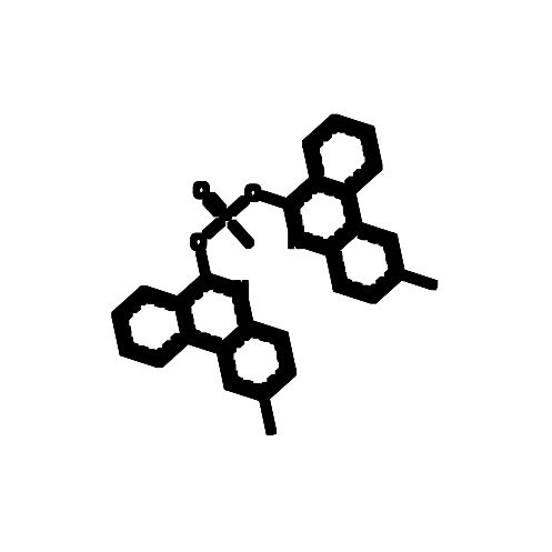 Cc1ccc2nc(OP(C)(=O)Oc3nc4ccc(C)cc4c4ccccc34)c3ccccc3c2c1